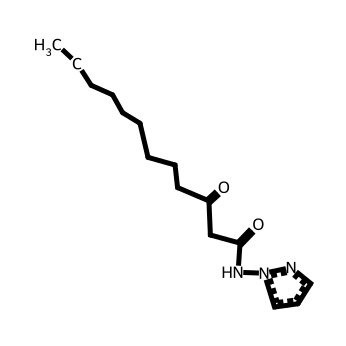 CCCCCCCCCC(=O)CC(=O)Nn1cccn1